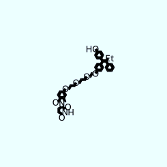 CCC(=C(c1ccc(O)cc1)c1ccc(OCCOCCCOCCCOc2ccc3c(c2)CN(C2CCC(=O)NC2=O)C3=O)cc1)c1ccccc1